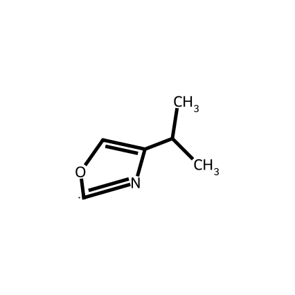 CC(C)c1co[c]n1